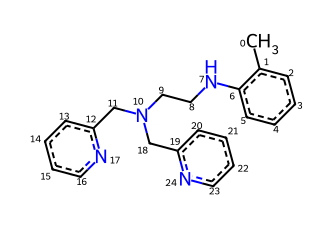 Cc1ccccc1NCCN(Cc1ccccn1)Cc1ccccn1